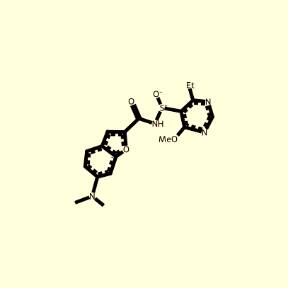 CCc1ncnc(OC)c1[S+]([O-])NC(=O)c1cc2ccc(N(C)C)cc2o1